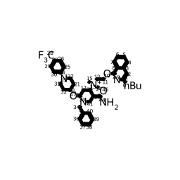 CCCCc1cc2ccccc2c(OCC[N+](C)(C)C2CC(OC3CCN(c4ccc(C(F)(F)F)cc4)CC3)N(Cc3ccccc3)CC2C(N)=O)n1